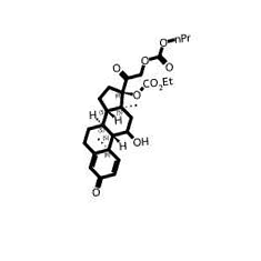 CCCOC(=O)OCC(=O)[C@@]1(OC(=O)OCC)CC[C@H]2[C@@H]3CCC4=CC(=O)C=C[C@]4(C)[C@H]3C(O)C[C@@]21C